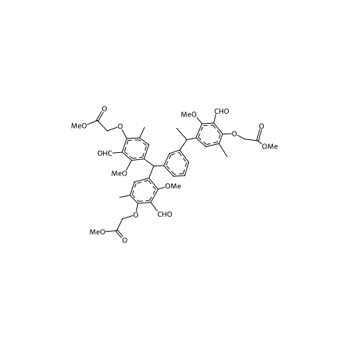 COC(=O)COc1c(C)cc(C(C)c2cccc(C(c3cc(C)c(OCC(=O)OC)c(C=O)c3OC)c3cc(C)c(OCC(=O)OC)c(C=O)c3OC)c2)c(OC)c1C=O